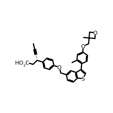 CC#C[C@@H](CC(=O)O)c1ccc(OCc2ccc3scc(-c4ccc(OCC5(C)COC5)cc4C)c3c2)cc1